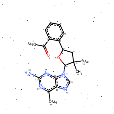 COC(=O)c1ccccc1C1CC(C)(OC(C)=O)C(n2cnc3c(OC)nc(N)nc32)O1